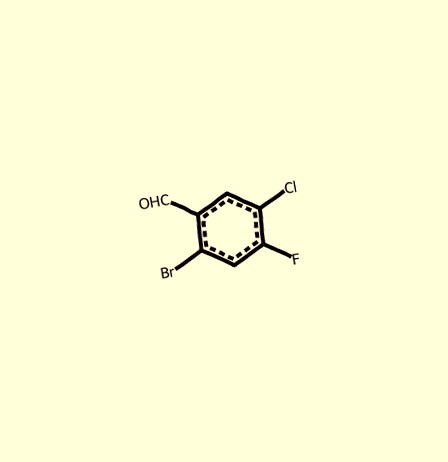 O=Cc1cc(Cl)c(F)cc1Br